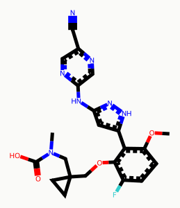 COc1ccc(F)c(OCC2(CN(C)C(=O)O)CC2)c1-c1cc(Nc2cnc(C#N)cn2)n[nH]1